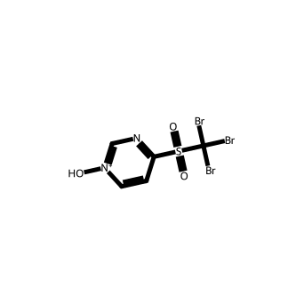 O=S(=O)(c1cc[n+](O)cn1)C(Br)(Br)Br